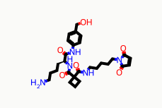 NCCCC[C@H](NC(=O)C1(C(=O)NCCCCCN2C(=O)C=CC2=O)CCC1)C(=O)Nc1ccc(CO)cc1